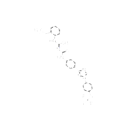 CCc1ccccc1N/C(S)=N/C(=O)Nc1ccc(-c2ncn(-c3ccc(OC(F)(F)F)cc3)n2)cc1